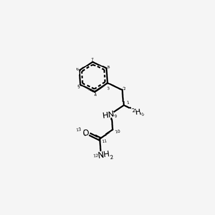 [2H]C(Cc1ccccc1)NCC(N)=O